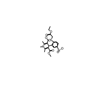 CCOC(=O)CSc1ccc([N+](=O)[O-])cc1C1C(C(=O)OC)=C(C)N(C)C(C)=C1C(=O)OC